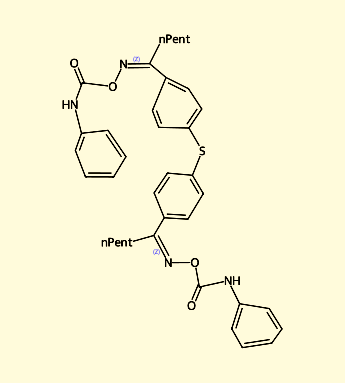 CCCCC/C(=N/OC(=O)Nc1ccccc1)c1ccc(Sc2ccc(/C(CCCCC)=N\OC(=O)Nc3ccccc3)cc2)cc1